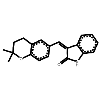 CC1(C)CCc2cc(C=C3C(=O)Nc4ccccc43)ccc2O1